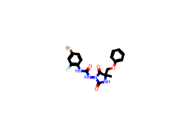 CC1(COc2ccccc2)NC(=O)N(NC(=O)Nc2ccc(Br)cc2F)C1=O